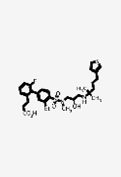 CCc1cc(-c2c(F)cccc2CCC(=O)O)ccc1S(=O)(=O)N(C)C[C@H](O)CNC(C)(C)CCCc1ccsc1